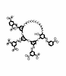 O=[N+]([O-])c1cccc(N=Nc2cc3c(O)c(c2)Cc2cc(N=Nc4cc([N+](=O)[O-])cc([N+](=O)[O-])c4)cc(c2O)Cc2cc(N=Nc4cc([N+](=O)[O-])cc([N+](=O)[O-])c4)cc(c2O)Cc2cc(N=Nc4cc([N+](=O)[O-])ccc4[N+](=O)[O-])cc(c2O)CCCCCCCCCCC3)c1